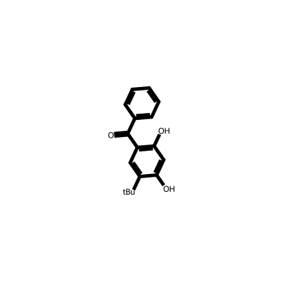 CC(C)(C)c1cc(C(=O)c2ccccc2)c(O)cc1O